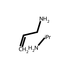 C=CCN.CC(C)N